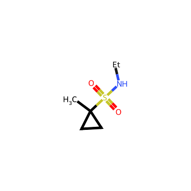 CCNS(=O)(=O)C1(C)CC1